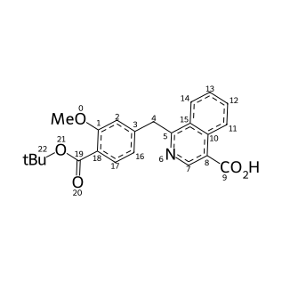 COc1cc(Cc2ncc(C(=O)O)c3ccccc23)ccc1C(=O)OC(C)(C)C